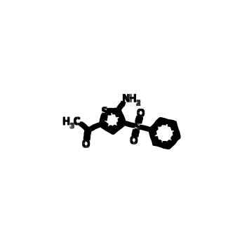 CC(=O)c1cc(S(=O)(=O)c2ccccc2)c(N)s1